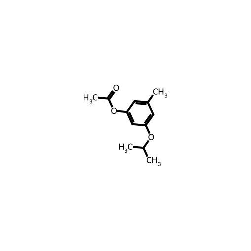 CC(=O)Oc1cc(C)cc(OC(C)C)c1